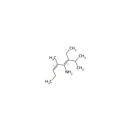 CC/C=C(C)\C(N)=C(/CC)C(C)C